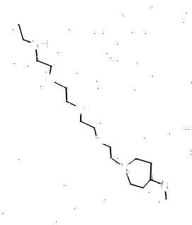 CCNCCOCCOCCOCCN1CCC(NC)CC1